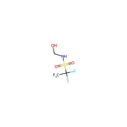 O=S(=O)(NCO)C(F)(F)C(F)(F)F